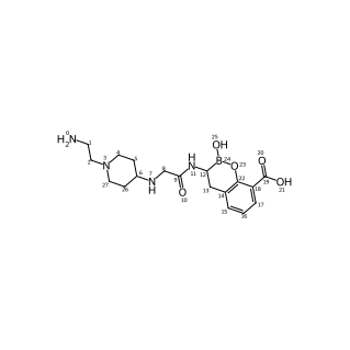 NCCN1CCC(NCC(=O)NC2Cc3cccc(C(=O)O)c3OB2O)CC1